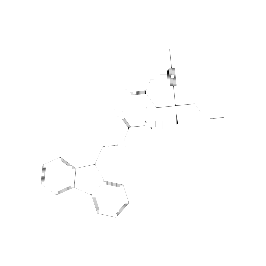 CC#C[C@](C)(COC)[C@H](NC(=O)OCC1c2ccccc2-c2ccccc21)C(=O)O